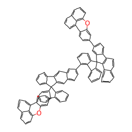 c1ccc(C2(c3ccccc3-c3ccc4c(c3)Oc3cccc5cccc-4c35)c3ccccc3-c3cc4cc(-c5cccc6c5-c5ccccc5C65c6cc(-c7ccc8c(c7)Oc7cccc9cccc-8c79)ccc6-c6ccc7ccccc7c65)ccc4cc32)cc1